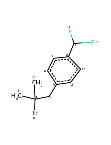 CCC(C)(C)Cc1ccc(C(F)F)cc1